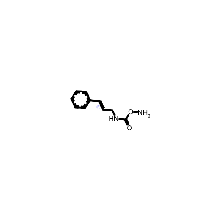 NOC(=O)NC/C=C/c1ccccc1